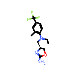 CCN(C[C@H]1COC(N)=N1)c1ccc(C(F)(F)F)cc1C